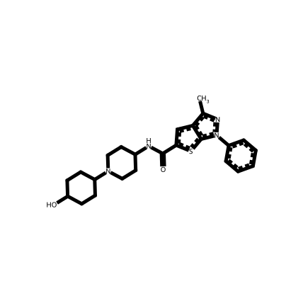 Cc1nn(-c2ccccc2)c2sc(C(=O)NC3CCN(C4CCC(O)CC4)CC3)cc12